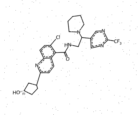 O=C(NCC(c1cnc(C(F)(F)F)nc1)N1CCCCC1)c1c(Cl)ccc2nc(C3CC[C@H](O)C3)ccc12